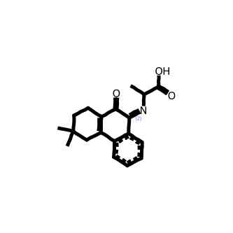 CC(/N=C1\C(=O)C2=C(CC(C)(C)CC2)c2ccccc21)C(=O)O